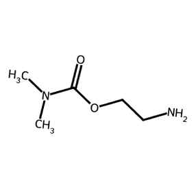 CN(C)C(=O)OCCN